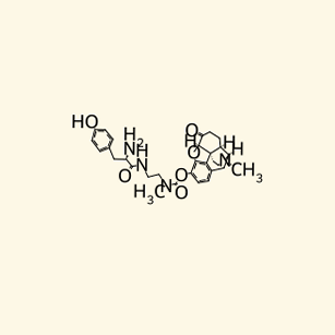 CN(CCNC(=O)[C@H](N)Cc1ccc(O)cc1)C(=O)Oc1ccc2c3c1O[C@H]1C(=O)CC[C@H]4[C@@H](C2)N(C)CC[C@]314